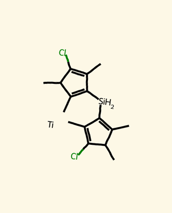 CC1=C(Cl)C(C)C(C)=C1[SiH2]C1=C(C)C(C)C(Cl)=C1C.[Ti]